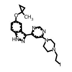 CC1(Oc2ccc3[nH]nc(-c4cc(N5CCN(CCI)CC5)ncn4)c3c2)CC1